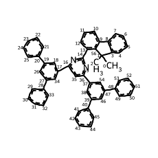 CC1(C)c2ccccc2-c2cccc(-c3nc(-c4cc(-c5ccccc5)cc(-c5ccccc5)c4)cc(-c4cc(-c5ccccc5)cc(-c5ccccc5)c4)n3)c21